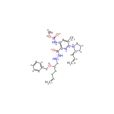 C=CCCC(CNNC(=O)c1nc(N2CCC[C@H]2CC=C)c(C(F)(F)F)cc1NC(=O)OC(C)(C)C)OCc1ccccc1